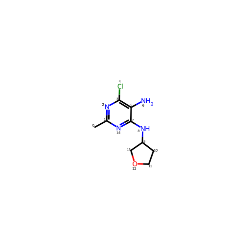 Cc1nc(Cl)c(N)c(NC2CCOC2)n1